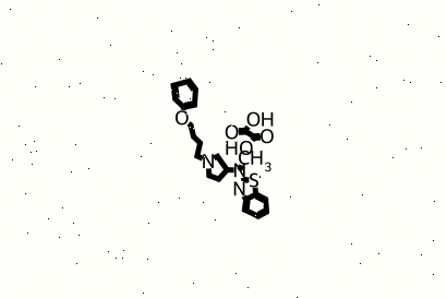 CN(c1nc2ccccc2s1)C1CCN(CCCCOc2ccccc2)C1.O=C(O)C(=O)O